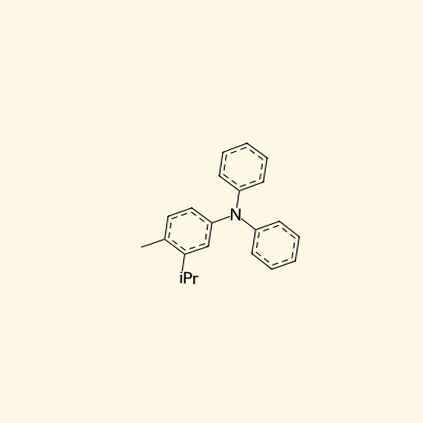 Cc1ccc(N(c2ccccc2)c2ccccc2)cc1C(C)C